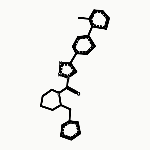 Cc1ccccc1-c1ccc(-c2cn(C(=O)N3CCCCC3Cc3ccccc3)nn2)cc1